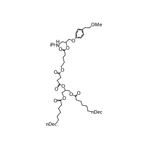 CCCCCCCCCCCCCCCC(=O)OCC(COC(=O)CCCCCCCCCCCCCCC)OC(=O)CCC(=O)OCCCCC(=O)OC(CNC(C)C)COc1ccc(CCOC)cc1